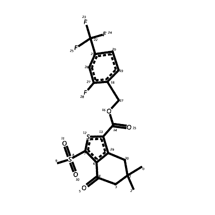 CC1(C)CC(=O)c2c(S(C)(=O)=O)sc(C(=O)OCc3ccc(C(F)(F)F)cc3F)c2C1